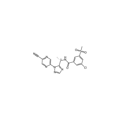 C[C@H](NC(=O)c1cc(Cl)cc(S(C)(=O)=O)c1)c1ncnn1-c1cnc(C#N)cn1